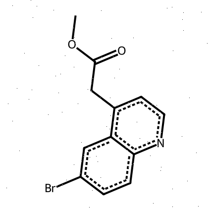 COC(=O)Cc1ccnc2ccc(Br)cc12